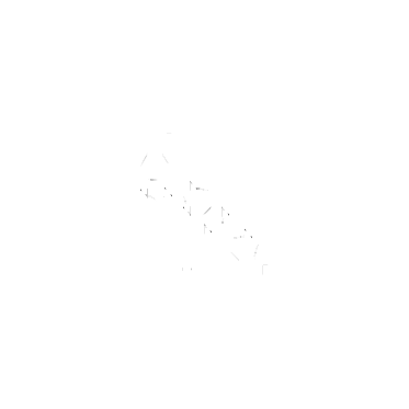 Fc1ccc(-c2nc3cnc(-n4cnc5ccc(F)cc54)nc3n2C2CCOCC2)nc1